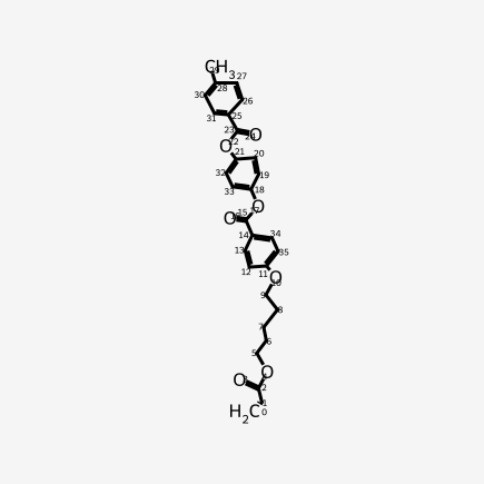 C=CC(=O)OCCCCCOc1ccc(C(=O)Oc2ccc(OC(=O)c3ccc(C)cc3)cc2)cc1